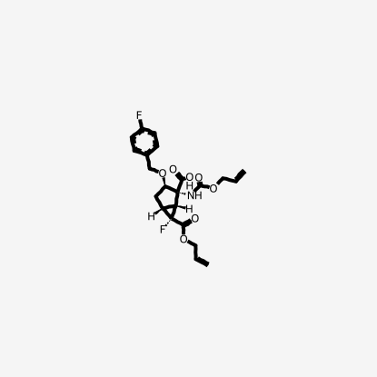 C=CCOC(=O)N[C@@]1(C(=O)O)[C@H](OCc2ccc(F)cc2)C[C@@H]2[C@H]1[C@@]2(F)C(=O)OCC=C